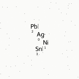 [Ag].[Ni].[Pb].[Sn]